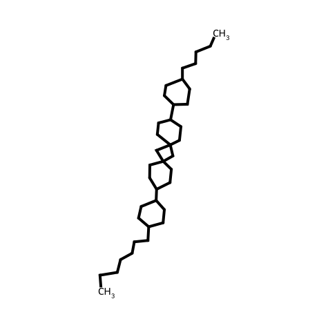 CCCCCCCC1CCC(C2CCC3(CC2)CC2(CCC(C4CCC(CCCCC)CC4)CC2)C3)CC1